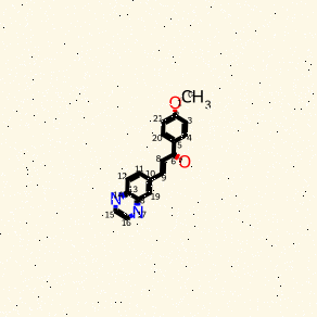 COc1ccc(C(=O)/C=C/c2ccc3nccnc3c2)cc1